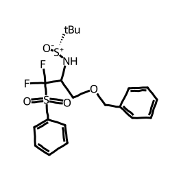 CC(C)(C)[S@@+]([O-])NC(COCc1ccccc1)C(F)(F)S(=O)(=O)c1ccccc1